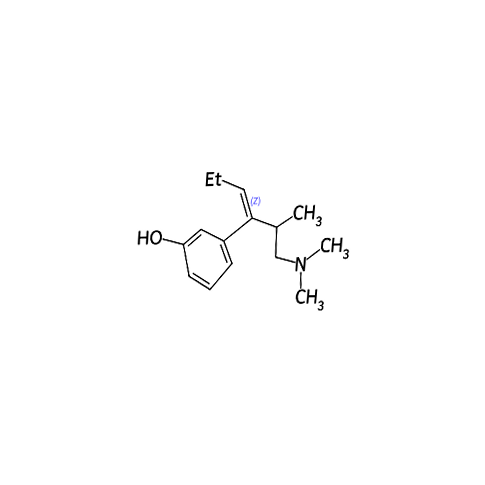 CC/C=C(\c1cccc(O)c1)C(C)CN(C)C